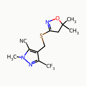 Cn1nc(C(F)(F)F)c(CSC2=NOC(C)(C)C2)c1C#N